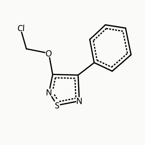 ClCOc1nsnc1-c1ccccc1